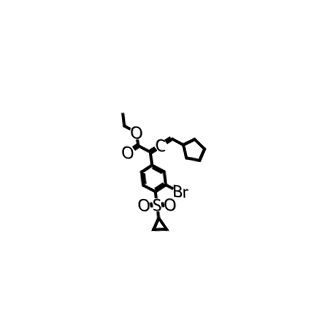 CCOC(=O)C(=C=CC1CCCC1)c1ccc(S(=O)(=O)C2CC2)c(Br)c1